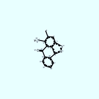 Cc1cc2snc3c2c(c1N)C(=O)c1ccccc1-3